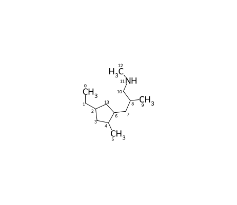 CCC1CC(C)C(CC(C)CNC)C1